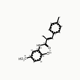 C/C(=C\c1ccc(C)cc1)C(=O)Nc1cc(C(=O)O)ccc1Cl